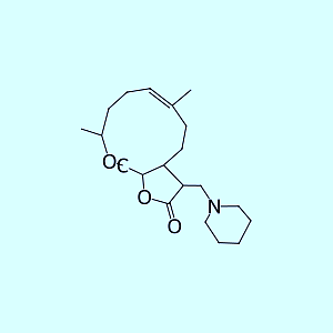 CC1=CCCC(C)OCC2OC(=O)C(CN3CCCCC3)C2CC1